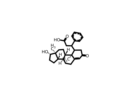 C[C@]12CC[C@H]3[C@@H](CCC4=CC(=O)CC(C(CC(=O)O)c5ccccc5)[C@@]43C)[C@@H]1CC[C@@H]2O